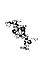 CC(C)C[C@H](N)C(=O)N[C@@H](CC(=O)O)C(=O)N[C@@H](CC(=O)O)C(=O)N1CCC[C@H]1C(=O)N[C@H](C(=O)N[C@@H](Cc1ccccc1)C(=O)N[C@@H](CCCNC(=N)N)C(=O)N1CCC[C@H]1C(=O)O)C(C)C